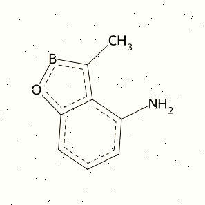 Cc1boc2cccc(N)c12